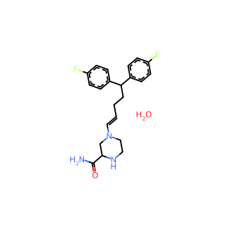 NC(=O)C1CN(C=CCCC(c2ccc(F)cc2)c2ccc(F)cc2)CCN1.O